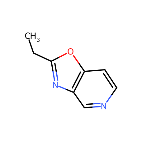 CCc1nc2cnccc2o1